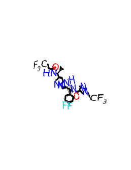 O=C(CCC(F)(F)F)NC(c1cnn2cc([C@@H](NC(=O)c3cnn(CCC(F)(F)F)c3)C3CCC(F)(F)CC3)nc2c1)C1CC1